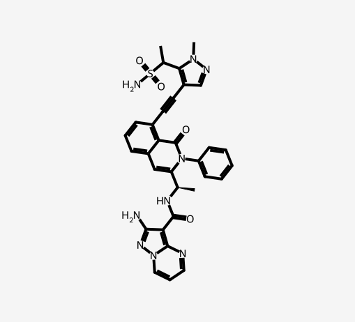 CC(c1c(C#Cc2cccc3cc([C@@H](C)NC(=O)c4c(N)nn5cccnc45)n(-c4ccccc4)c(=O)c23)cnn1C)S(N)(=O)=O